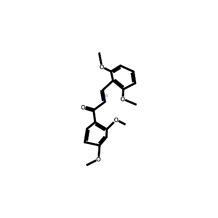 COc1ccc(C(=O)/C=C/c2c(OC)cccc2OC)c(OC)c1